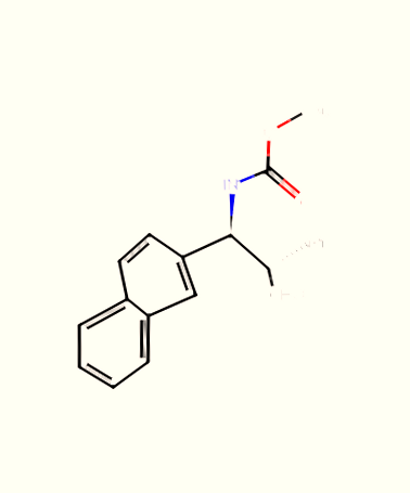 CC(C)[C@H](C=O)[C@H](NC(=O)OC(C)(C)C)c1ccc2ccccc2c1